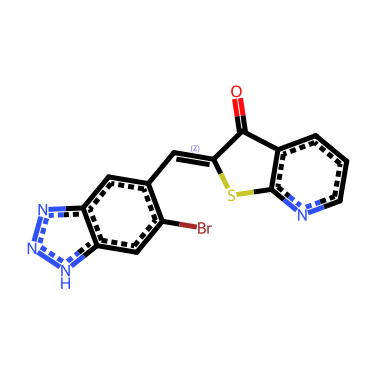 O=C1/C(=C/c2cc3nn[nH]c3cc2Br)Sc2ncccc21